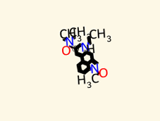 CCCN1C[C@H](C(=O)N(CC)CC)C=C2c3cccc4c3c(cn4C(C)=O)C[C@H]21